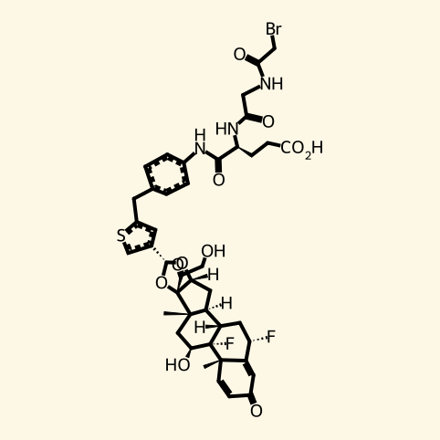 C[C@]12C=CC(=O)C=C1[C@@H](F)C[C@H]1[C@@H]3C[C@H]4O[C@@H](c5csc(Cc6ccc(NC(=O)[C@H](CCC(=O)O)NC(=O)CNC(=O)CBr)cc6)c5)O[C@@]4(C(=O)CO)[C@@]3(C)C[C@H](O)[C@@]12F